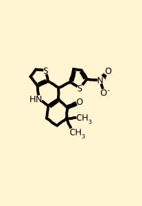 CC1(C)CCC2=C(C1=O)C(c1ccc([N+](=O)[O-])s1)C1=C(CCS1)N2